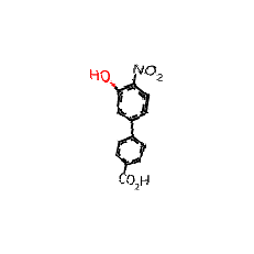 O=C(O)c1ccc(-c2ccc([N+](=O)[O-])c(O)c2)cc1